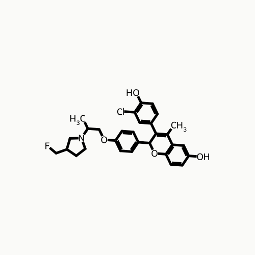 CC1=C(c2ccc(O)c(Cl)c2)C(c2ccc(OCC(C)N3CCC(CF)C3)cc2)Oc2ccc(O)cc21